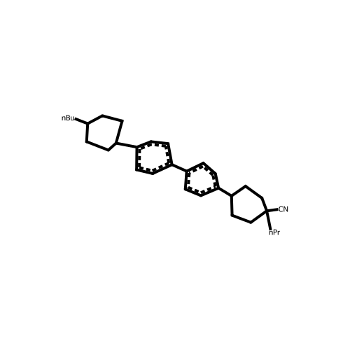 CCCCC1CCC(c2ccc(-c3ccc(C4CCC(C#N)(CCC)CC4)cc3)cc2)CC1